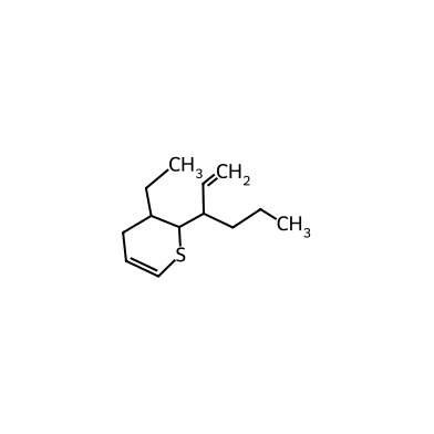 C=CC(CCC)C1SC=CCC1CC